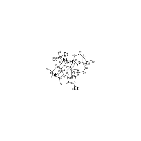 CCC=CCC1C(C)CC(C)CC1C(CC)C1(CC(CCC)CC(N)C(C)(CC)CC)CCCCC(C)C2CCC1C(CCC(C)C)C2